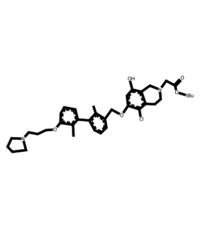 Cc1c(COc2cc(O)c3c(c2Cl)CCN(CC(=O)OC(C)(C)C)C3)cccc1-c1cccc(OCCCN2CCCC2)c1C